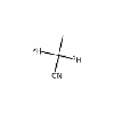 [2H]C([2H])(C)C#N